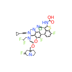 N#Cc1c(NC(=O)O)sc2c(F)ccc(-c3c(F)c4c5c(c3Cl)=NCN(C#CC3CC3)C=5N(CC(F)F)C=C(OC[C@@]35CCCN3C[C@H](F)C5)O4)c12